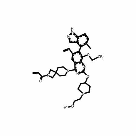 C=CC(=O)N1CC2(CCN(c3nc(OC4CCN(CCOC(C)C)CC4)nc4c(OCC(F)(F)F)c(-c5c(C)ccc6[nH]ncc56)c(C=C)cc34)CC2)C1